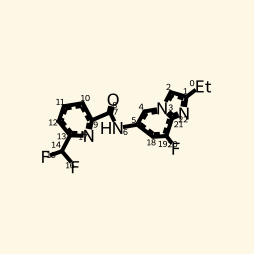 CCc1cn2cc(NC(=O)c3cccc(C(F)F)n3)cc(F)c2n1